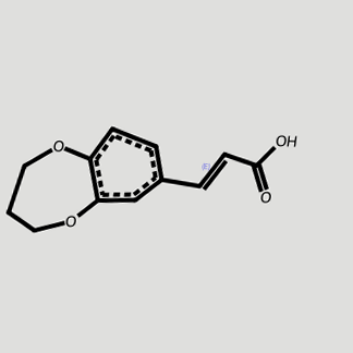 O=C(O)/C=C/c1ccc2c(c1)OCCCO2